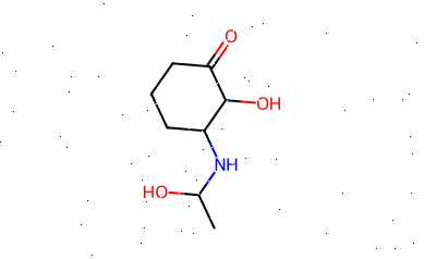 CC(O)NC1CCCC(=O)C1O